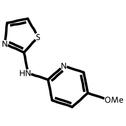 COc1ccc(Nc2nccs2)nc1